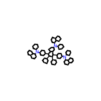 c1ccc(-c2c(-c3ccccc3)c(-c3ccc(N(c4ccccc4)c4cccc5ccccc45)cc3)c3cc(N(c4ccccc4)c4cccc5ccccc45)ccc3c2-c2ccc(N(c3ccccc3)c3cccc4ccccc34)cc2)cc1